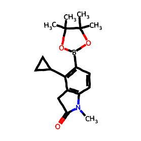 CN1C(=O)Cc2c1ccc(B1OC(C)(C)C(C)(C)O1)c2C1CC1